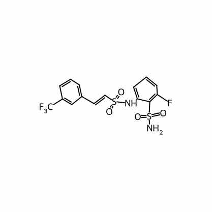 NS(=O)(=O)c1c(F)cccc1NS(=O)(=O)/C=C/c1cccc(C(F)(F)F)c1